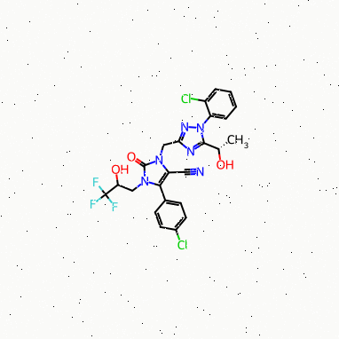 C[C@H](O)c1nc(Cn2c(C#N)c(-c3ccc(Cl)cc3)n(CC(O)C(F)(F)F)c2=O)nn1-c1ccccc1Cl